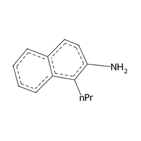 CCCc1c(N)ccc2ccccc12